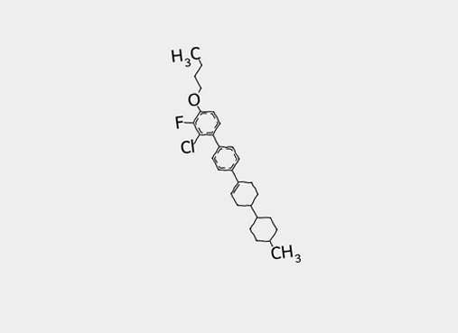 CCCCOc1ccc(-c2ccc(C3=CCC(C4CCC(C)CC4)CC3)cc2)c(Cl)c1F